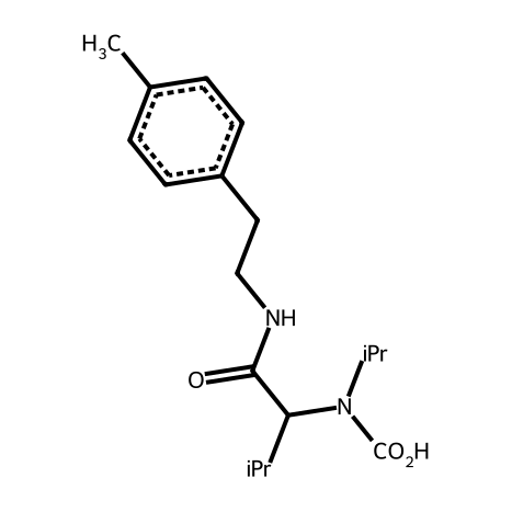 Cc1ccc(CCNC(=O)C(C(C)C)N(C(=O)O)C(C)C)cc1